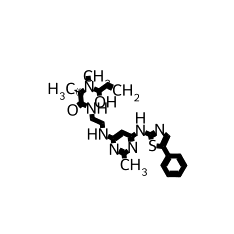 C=CC(O)N(C)[C@@H](C)C(=O)NCCNc1cc(Nc2ncc(-c3ccccc3)s2)nc(C)n1